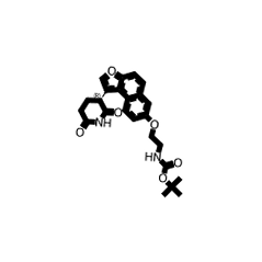 CC(C)(C)OC(=O)NCCOc1ccc2c(ccc3occ([C@H]4CCC(=O)NC4=O)c32)c1